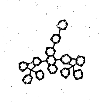 c1ccc(C2(c3ccccc3)c3ccccc3-c3ccc(-c4c5ccccc5c(-c5ccc6c(c5)C(c5ccccc5)(c5ccccc5)c5ccccc5-6)c5cc(-c6ccc(-c7ccccn7)cc6)ccc45)cc32)cc1